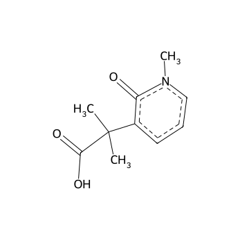 Cn1cccc(C(C)(C)C(=O)O)c1=O